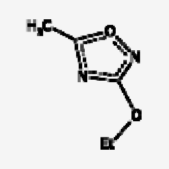 CCOc1noc(C)n1